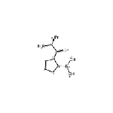 CC(C)[C@H](N)C(=O)N1CCCC1B(O)O